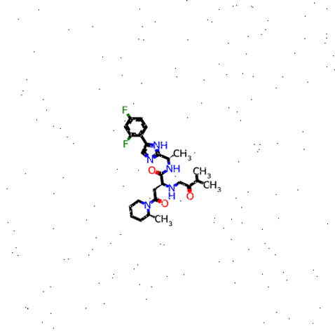 CC(C)C(=O)CN[C@@H](CC(=O)N1CCCC[C@@H]1C)C(=O)N[C@@H](C)c1ncc(-c2ccc(F)cc2F)[nH]1